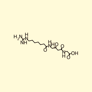 N=C(N)NCCCCCCC(=O)NC[C@@H](O)CC(=O)NCC(=O)O